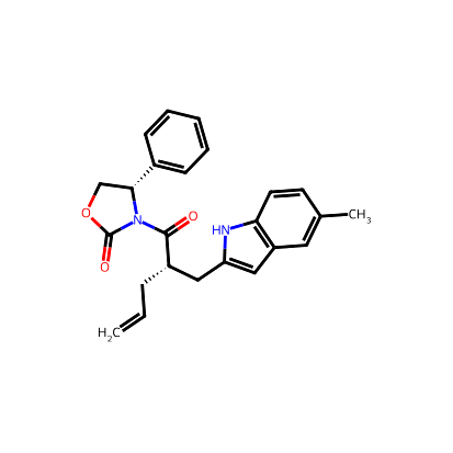 C=CC[C@@H](Cc1cc2cc(C)ccc2[nH]1)C(=O)N1C(=O)OC[C@@H]1c1ccccc1